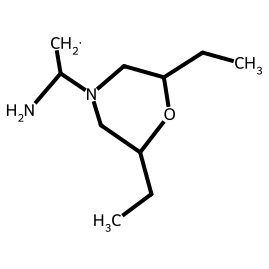 [CH2]C(N)N1CC(CC)OC(CC)C1